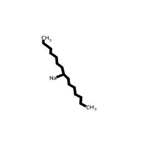 CCCCCCC[CH]([Na])CCCCCCC